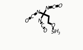 O=C=NC(CCO[SiH3])(N=C=O)N=C=O